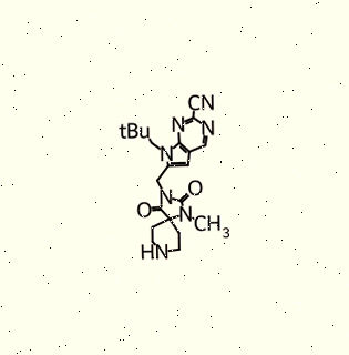 CN1C(=O)N(Cc2cc3cnc(C#N)nc3n2CC(C)(C)C)C(=O)C12CCNCC2